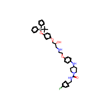 CC(C)(C)[Si](Oc1ccc(OC[C@@H](O)CNCCOc2ccc(NC3CCN(C(=O)NCc4ccc(F)cc4)CC3)cc2)cc1)(c1ccccc1)c1ccccc1